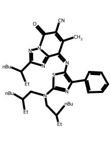 CCCCC(CC)CN(CC(CC)CCCC)c1nc(-c2ccccc2)c(/N=C2/C(C)=C(C#N)C(=O)n3nc(C(CC)CCCC)nc32)s1